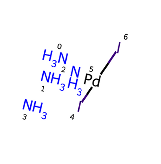 N.N.N.N.[I][Pd][I]